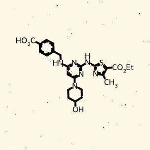 CCOC(=O)c1sc(Nc2nc(NCc3ccc(C(=O)O)cc3)cc(N3CCC(O)CC3)n2)nc1C